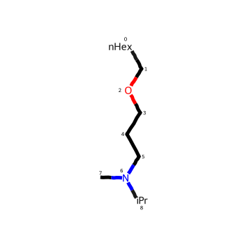 CCCCCCCOCCCN(C)C(C)C